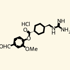 COc1cc(C=O)ccc1OC(=O)[C@H]1CC[C@H](CNC(=N)N)CC1.Cl